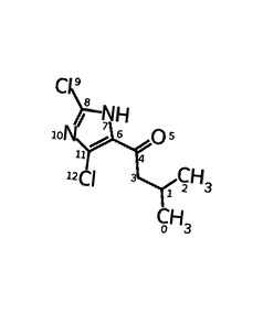 CC(C)CC(=O)c1[nH]c(Cl)nc1Cl